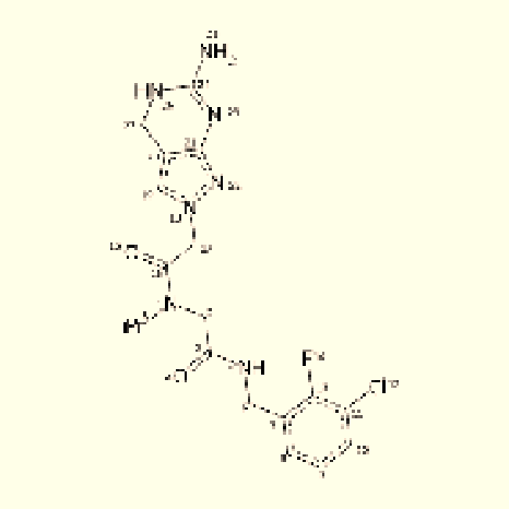 CC(C)N(CC(=O)NCc1cccc(Cl)c1F)C(=O)Cn1cc2c(n1)N=C(N)NC2